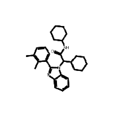 Cc1cccc(-c2nc3ccccc3n2C(C(=O)NC2CCCCC2)C2CCCCC2)c1C